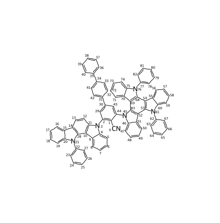 N#Cc1c(-n2c3ccccc3c3c2ccc2c4ccccc4n(-c4ccccc4)c23)cc(-c2ccc(-c3ccccc3)cc2)cc1-n1c2ccccc2c2c3c(c4ccccc4n3-c3ccccc3)c3c(c4ccccc4n3-c3ccccc3)c21